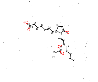 CCCCC[C@@H](C=C[C@H]1C(=O)C=C[C@@H]1CC=CCCCC(=O)O)OC(=O)CC